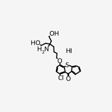 I.NC(CCO)(CCO)CCCCOc1ccc(Cl)c2c(=O)c3ccccc3sc12